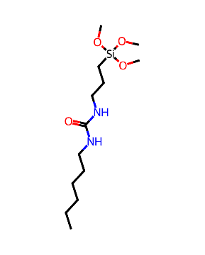 CCCCCCNC(=O)NCCC[Si](OC)(OC)OC